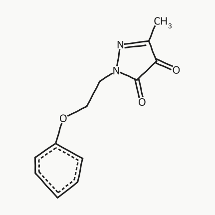 CC1=NN(CCOc2ccccc2)C(=O)C1=O